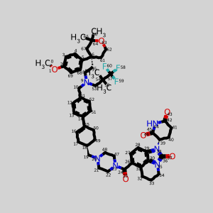 COc1ccc([C@]2(CCN(Cc3ccc(C4=CC[C@H](CN5CCN(C(=O)c6ccc7c8c6CCCn8c(=O)n7[C@H]6CCC(=O)NC6=O)CC5)CC4)cc3)CC(C)(C)C(F)(F)F)CCOC(C)(C)C2)cc1